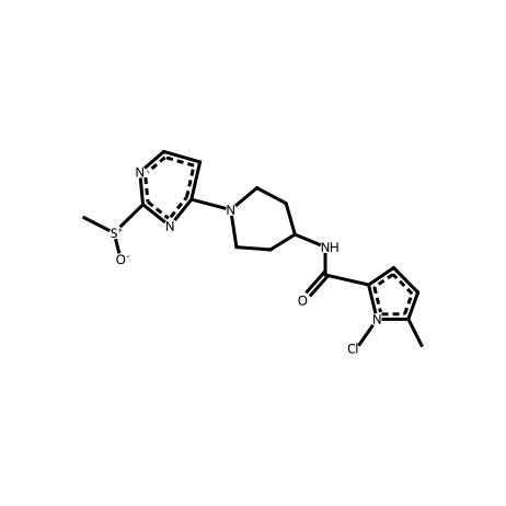 Cc1ccc(C(=O)NC2CCN(c3ccnc([S+](C)[O-])n3)CC2)n1Cl